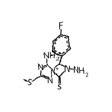 CSC1=N[N+]2(C(=S)N(N)C2c2ccc(F)cc2)C(N)=N1